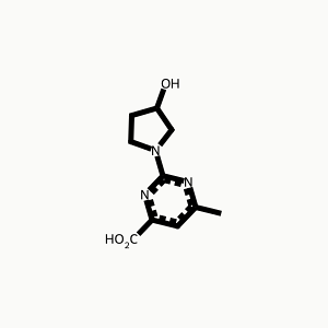 Cc1cc(C(=O)O)nc(N2CCC(O)C2)n1